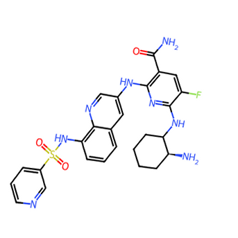 NC(=O)c1cc(F)c(NC2CCCC[C@@H]2N)nc1Nc1cnc2c(NS(=O)(=O)c3cccnc3)cccc2c1